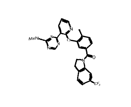 CNc1ncnc(-c2cccnc2Oc2cc(C(=O)N3CCc4ccc(C(F)(F)F)cc43)ccc2C)n1